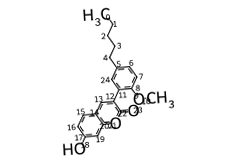 CCCCCc1ccc(OC)c(-c2cc3ccc(O)cc3oc2=O)c1